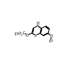 CCOC(=O)OC1=CNc2ccc(OCC)cc2S1